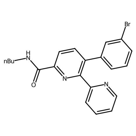 CCCCNC(=O)c1ccc(-c2cccc(Br)c2)c(-c2ccccn2)n1